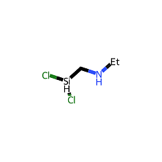 CCNC[SiH](Cl)Cl